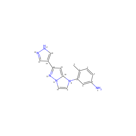 Cc1ccc(N)cc1-n1ccn2nc(-c3cn[nH]c3)cc12